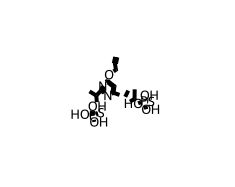 C#CCOc1cc(C)nc(C(C)C)n1.CC.CCC.OP(O)(O)=S.OP(O)(O)=S